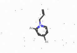 C=CC[n+]1ccc(C(C)=O)cc1C(C)=O